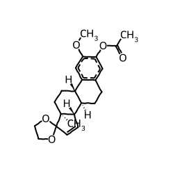 COc1cc2c(cc1OC(C)=O)CC[C@@H]1[C@@H]2CC[C@@]2(C)[C@H]1C=CC21OCCO1